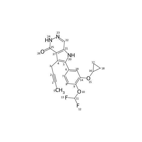 CC#CCc1c(-c2ccc(OC(F)F)c(OC3CC3)c2)[nH]c2cn[nH]c(=O)c12